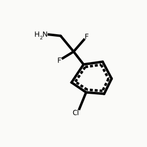 NCC(F)(F)c1cccc(Cl)c1